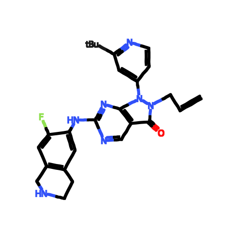 C=CCn1c(=O)c2cnc(Nc3cc4c(cc3F)CNCC4)nc2n1-c1ccnc(C(C)(C)C)c1